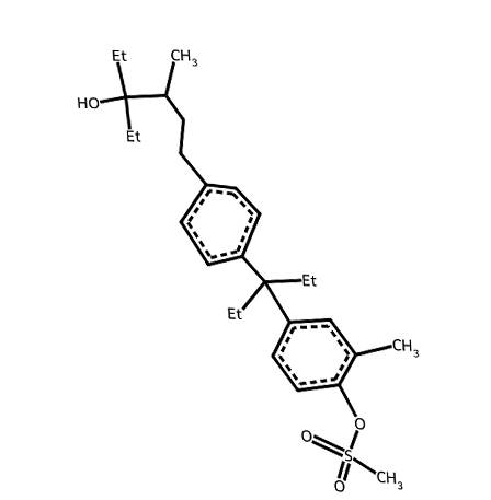 CCC(CC)(c1ccc(CCC(C)C(O)(CC)CC)cc1)c1ccc(OS(C)(=O)=O)c(C)c1